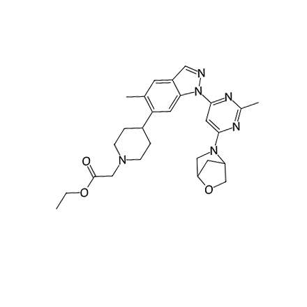 CCOC(=O)CN1CCC(c2cc3c(cnn3-c3cc(N4CC5CC4CO5)nc(C)n3)cc2C)CC1